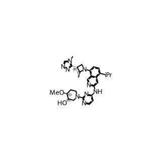 CO[C@H]1CCN(c2nccc(Nc3cc4c(C(C)C)ccc(N5C[C@@H](c6nncn6C)[C@@H]5C)c4cn3)n2)C[C@@H]1O